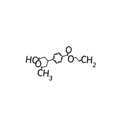 C#CCC(CC(C)=O)c1ccc(C(=O)OCC=C)cc1